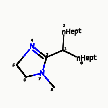 CCCCCCCC(CCCCCCC)C1=NCCN1C